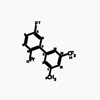 Cc1cc(-c2cc(F)ccc2C(C)C)cc(C(F)(F)F)c1